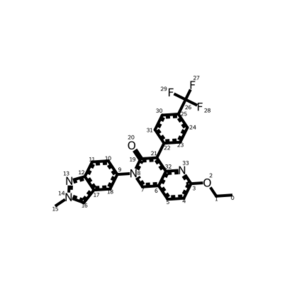 CCOc1ccc2cn(-c3ccc4nn(C)cc4c3)c(=O)c(-c3ccc(C(F)(F)F)cc3)c2n1